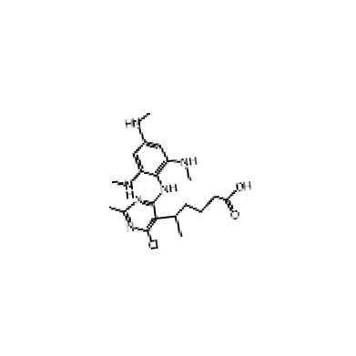 CNc1cc(NC)c(Nc2nc(C)nc(Cl)c2C(C)CCCC(=O)O)c(NC)c1